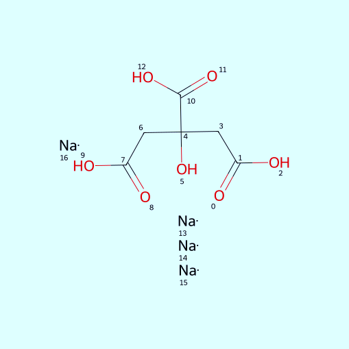 O=C(O)CC(O)(CC(=O)O)C(=O)O.[Na].[Na].[Na].[Na]